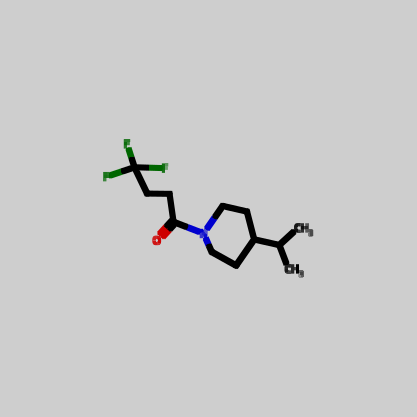 CC(C)C1CCN(C(=O)CCC(F)(F)F)CC1